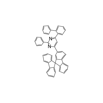 c1ccc(-c2nc(-c3ccc4c(c3)C3(c5ccccc5-c5ccccc53)c3ccccc3-4)cc(-c3ccccc3-c3ccccc3)n2)cc1